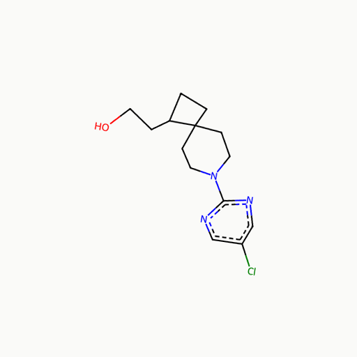 OCCC1CCC12CCN(c1ncc(Cl)cn1)CC2